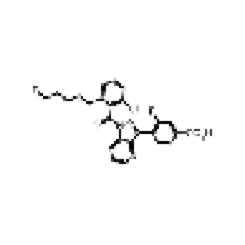 O=C(O)c1ccc(-c2nn(C(=O)c3c(Cl)cccc3CCCCCF)c3cccnc23)c(F)c1